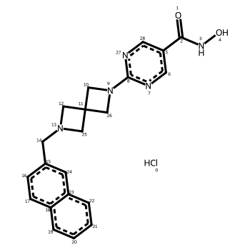 Cl.O=C(NO)c1cnc(N2CC3(CN(Cc4ccc5ccccc5c4)C3)C2)nc1